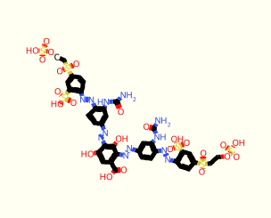 NC(=O)Nc1cc(N=Nc2c(O)cc(C(=O)O)c(N=Nc3ccc(N=Nc4ccc(S(=O)(=O)CCOS(=O)(=O)O)cc4S(=O)(=O)O)c(NC(N)=O)c3)c2O)ccc1N=Nc1ccc(S(=O)(=O)CCOS(=O)(=O)O)cc1S(=O)(=O)O